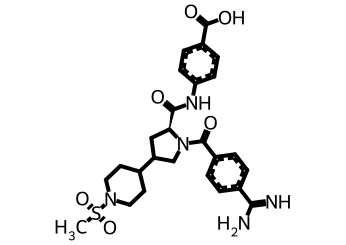 CS(=O)(=O)N1CCC(C2C[C@@H](C(=O)Nc3ccc(C(=O)O)cc3)N(C(=O)c3ccc(C(=N)N)cc3)C2)CC1